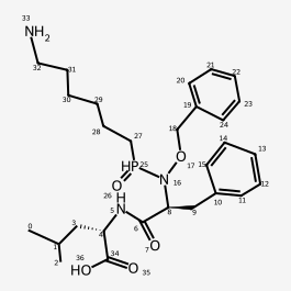 CC(C)C[C@H](NC(=O)[C@H](Cc1ccccc1)N(OCc1ccccc1)[PH](=O)CCCCCCN)C(=O)O